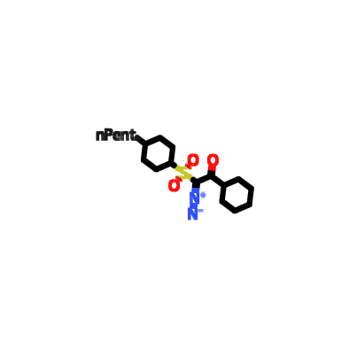 CCCCCC1CCC(S(=O)(=O)C(=[N+]=[N-])C(=O)C2CCCCC2)CC1